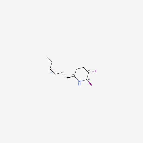 CC/C=C\CC[C@H]1CC[C@H](I)[C@@H](I)N1